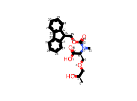 C[C@@H](O)COC[C@@H](C(=O)O)N(C)C(=O)OCC1c2ccccc2-c2ccccc21